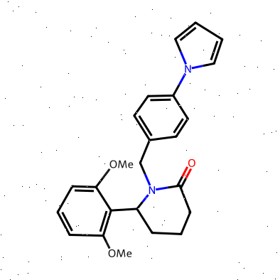 COc1cccc(OC)c1C1CCCC(=O)N1Cc1ccc(-n2cccc2)cc1